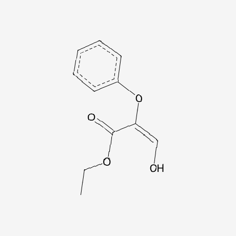 CCOC(=O)C(=CO)Oc1ccccc1